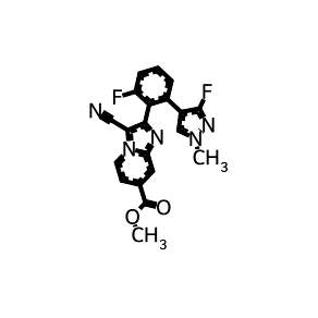 COC(=O)c1ccn2c(C#N)c(-c3c(F)cccc3-c3cn(C)nc3F)nc2c1